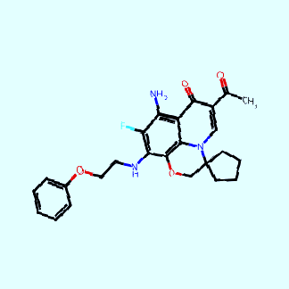 CC(=O)c1cn2c3c(c(NCCOc4ccccc4)c(F)c(N)c3c1=O)OCC21CCCC1